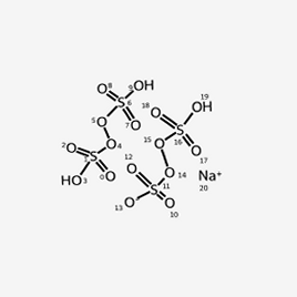 O=S(=O)(O)OOS(=O)(=O)O.O=S(=O)([O-])OOS(=O)(=O)O.[Na+]